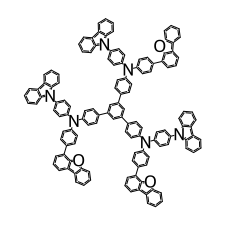 c1ccc2c(c1)oc1c(-c3ccc(N(c4ccc(-c5cc(-c6ccc(N(c7ccc(-c8cccc9c8oc8ccccc89)cc7)c7ccc(-n8c9ccccc9c9ccccc98)cc7)cc6)cc(-c6ccc(N(c7ccc(-c8cccc9c8oc8ccccc89)cc7)c7ccc(-n8c9ccccc9c9ccccc98)cc7)cc6)c5)cc4)c4ccc(-n5c6ccccc6c6ccccc65)cc4)cc3)cccc12